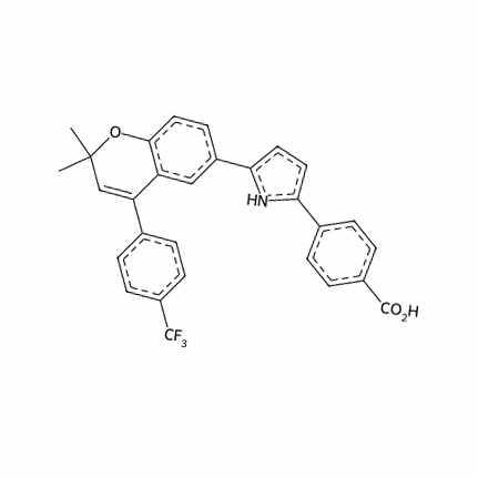 CC1(C)C=C(c2ccc(C(F)(F)F)cc2)c2cc(-c3ccc(-c4ccc(C(=O)O)cc4)[nH]3)ccc2O1